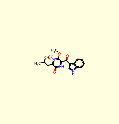 COc1c(C(=O)c2c[nH]c3ccccc23)[nH]c(=O)c(CC(C)C)[n+]1[O-]